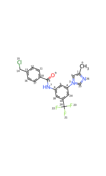 Cc1cn(-c2cc(NC(=O)c3ccc(CCl)cc3)cc(C(F)(F)F)c2)cn1